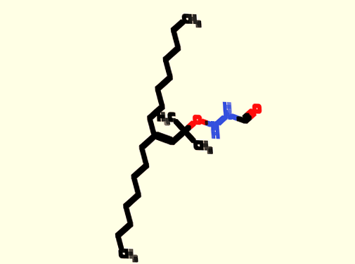 CCCCCCCCC(=CC(C)(C)ONNC=O)CCCCCCCC